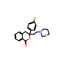 O=C1OC(CCN2CCCCC2)(c2ccc(Cl)cc2)Cc2ccccc21